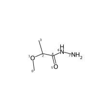 COC(C)C(=O)NN